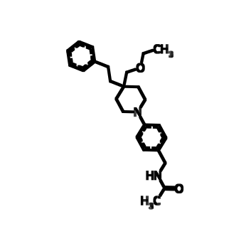 CCOCC1(CCc2ccccc2)CCN(c2ccc(CNC(C)=O)cc2)CC1